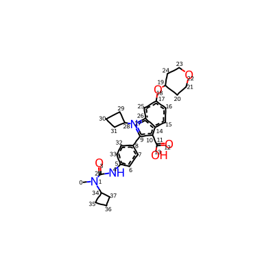 CN(C(=O)Nc1ccc(-c2c(C(=O)O)c3ccc(OC4CCOCC4)cc3n2C2CCC2)cc1)C1CCC1